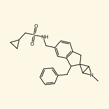 CN1C2C1C21Cc2ccc(CNS(=O)(=O)CC3CC3)cc2C1Cc1ccccc1